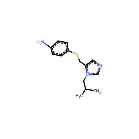 CC(C)Cn1cncc1CSc1ccc(N)cc1